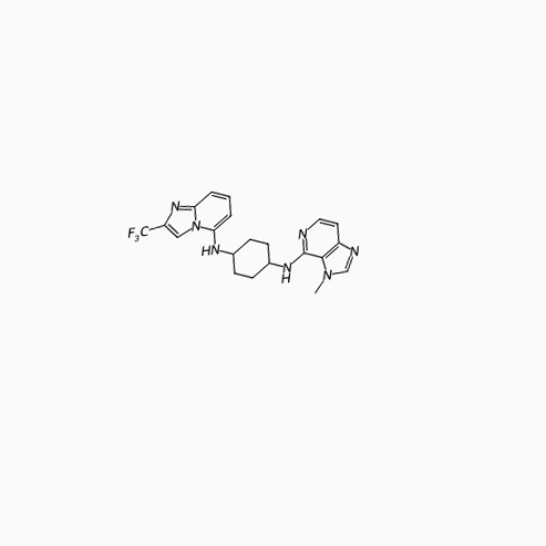 Cn1cnc2ccnc(NC3CCC(Nc4cccc5nc(C(F)(F)F)cn45)CC3)c21